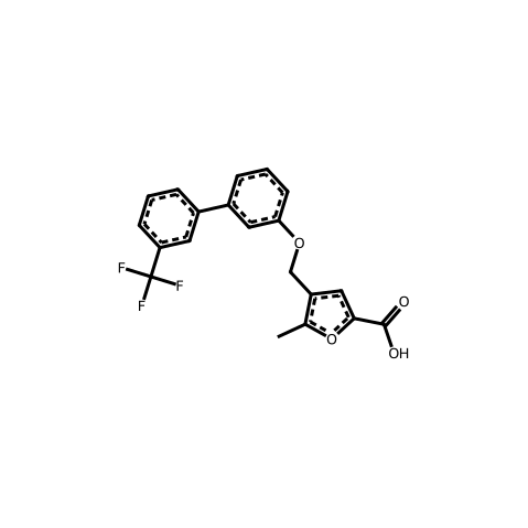 Cc1oc(C(=O)O)cc1COc1cccc(-c2cccc(C(F)(F)F)c2)c1